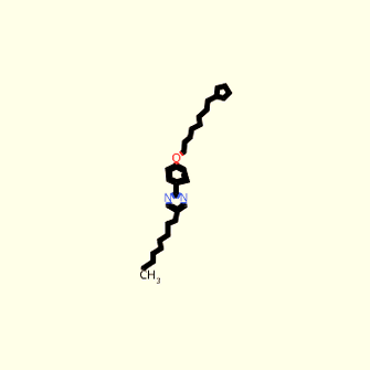 CCCCCCCCCc1cnc(-c2ccc(OCCCCCCCCC3CCCC3)cc2)nc1